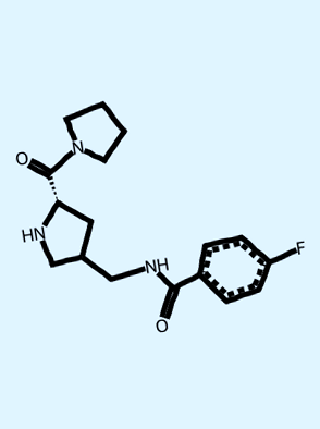 O=C(NCC1CN[C@H](C(=O)N2CCCC2)C1)c1ccc(F)cc1